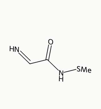 CSNC(=O)C=N